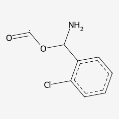 NC(O[C]=O)c1ccccc1Cl